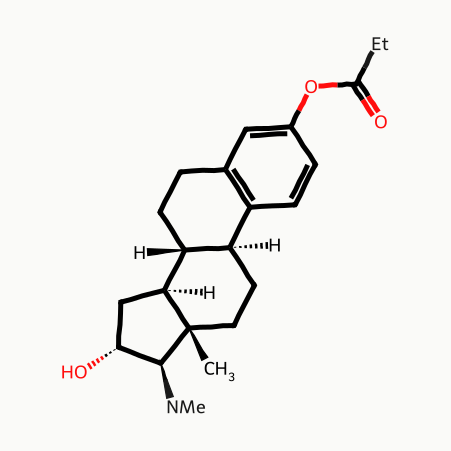 CCC(=O)Oc1ccc2c(c1)CC[C@@H]1[C@@H]2CC[C@@]2(C)[C@H]1C[C@@H](O)[C@@H]2NC